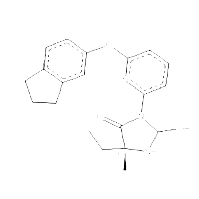 CC[C@@]1(C)NC(O)N(c2cccc(Oc3ccc4c(c3)CCC4)n2)C1=O